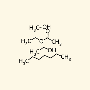 CCCCCCC.CCO.CCOC(C)=O.CO